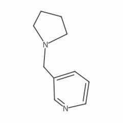 c1cncc(CN2CCCC2)c1